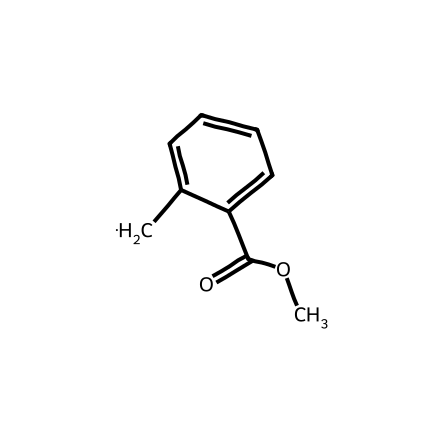 [CH2]c1ccccc1C(=O)OC